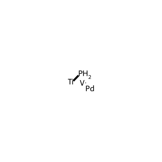 [PH2][Ti].[Pd].[V]